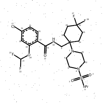 CCCS(=O)(=O)N1CCN(C2(CNC(=O)c3ccc(Cl)cc3OC(F)F)CCC(F)(F)CC2)CC1